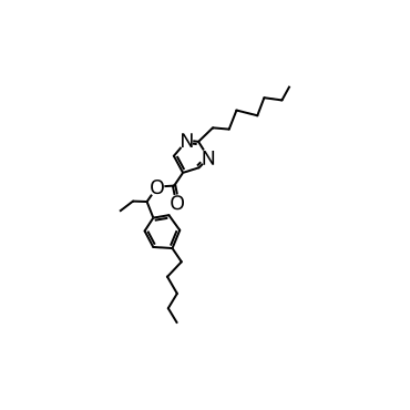 CCCCCCCc1ncc(C(=O)OC(CC)c2ccc(CCCCC)cc2)cn1